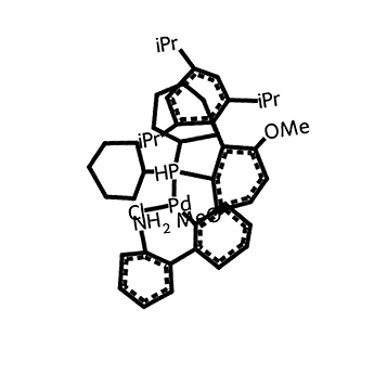 COc1ccc(OC)c([PH](C2CCCCC2)(C2CCCCC2)[Pd]([Cl])[c]2ccccc2-c2ccccc2N)c1-c1c(C(C)C)cc(C(C)C)cc1C(C)C